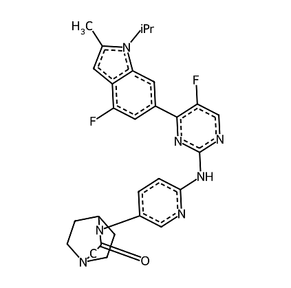 Cc1cc2c(F)cc(-c3nc(Nc4ccc(N5C(=O)CN6CCC5CC6)cn4)ncc3F)cc2n1C(C)C